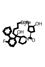 COCCCC[C@@](O)(c1cccc(F)c1-c1ccccc1)C1CCCN(C(=O)[C@H]2C[C@@H](N)[C@@H](O)C2)C1